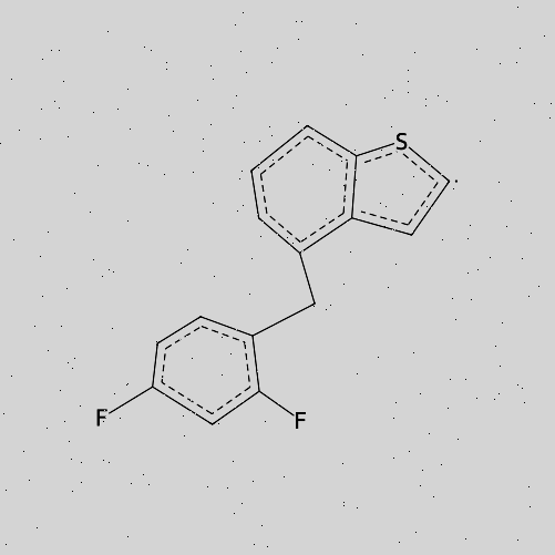 Fc1ccc(Cc2cccc3s[c]cc23)c(F)c1